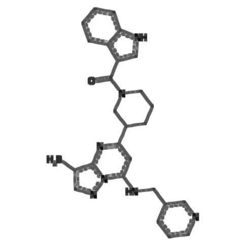 Bc1cnn2c(NCc3cccnc3)cc(C3CCCN(C(=O)c4c[nH]c5ccccc45)C3)nc12